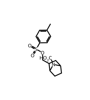 Cc1ccc(S(=O)(=O)OCC2CC3CCC2N3C(=O)O)cc1